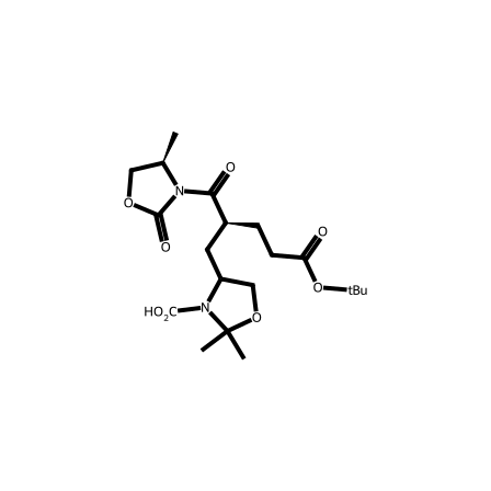 C[C@@H]1COC(=O)N1C(=O)[C@@H](CCC(=O)OC(C)(C)C)CC1COC(C)(C)N1C(=O)O